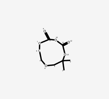 CC1(C)COCCOC(=O)OC(=O)O1